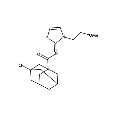 COCCn1ccs/c1=N\C(=O)C12CC3CC(CC(Cl)(C3)C1)C2